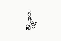 CCOc1cccc(-n2nnn(C)c2=O)c1COc1ccn(-c2ccc(OC)cc2)n1